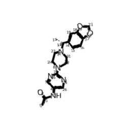 CC(=O)Nc1cnc(N2CCN([C@H](C)c3ccc4c(c3)OCO4)CC2)nc1